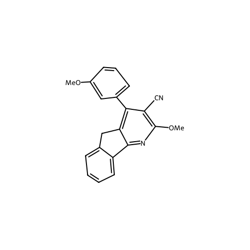 COc1cccc(-c2c(C#N)c(OC)nc3c2Cc2ccccc2-3)c1